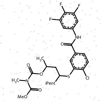 CCCC(C)C(CC(C)OC(=O)N(C)C(=O)OC)Sc1cc(C(=O)Nc2cc(F)c(F)c(F)c2)ccc1Cl